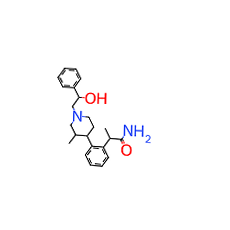 CC(C(N)=O)c1ccccc1C1CCN(CC(O)c2ccccc2)CC1C